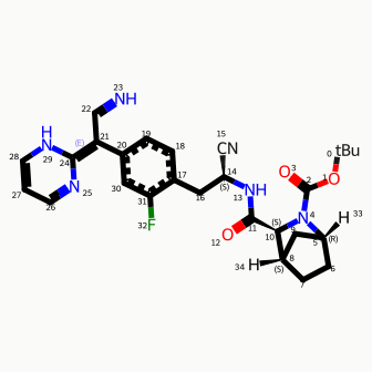 CC(C)(C)OC(=O)N1[C@@H]2CC[C@@H](C2)[C@H]1C(=O)N[C@H](C#N)Cc1ccc(/C(C=N)=C2\N=CC=CN2)cc1F